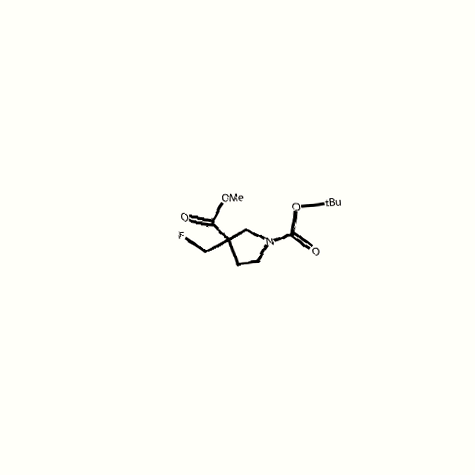 COC(=O)C1(CF)CCN(C(=O)OC(C)(C)C)C1